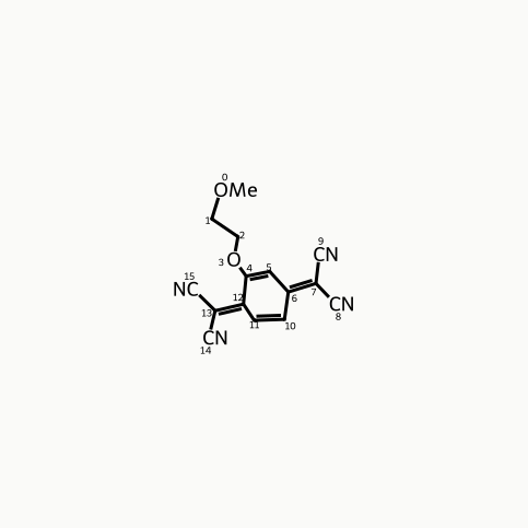 COCCOc1cc(=C(C#N)C#N)ccc1=C(C#N)C#N